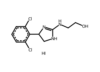 I.OCCNC1=NC(c2c(Cl)cccc2Cl)CN1